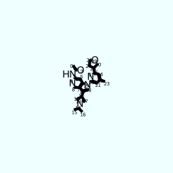 CC(=O)Nc1cc2c(cn1)c(C1CN(C(C)C)C1)cn2-c1cc(C)cc(C2CCOC2)n1